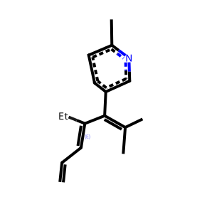 C=C/C=C(\CC)C(=C(C)C)c1ccc(C)nc1